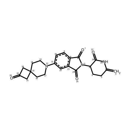 C=C1CCC(N2C(=O)c3ccc(N4CCC5(CC4)CC(=O)C5)cc3C2=O)C(=O)N1